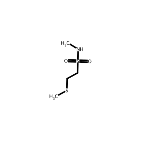 CNS(=O)(=O)CCSC